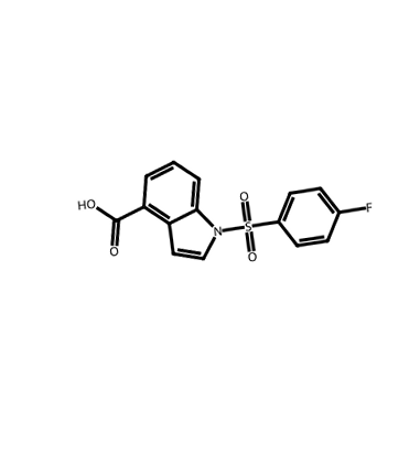 O=C(O)c1cccc2c1ccn2S(=O)(=O)c1ccc(F)cc1